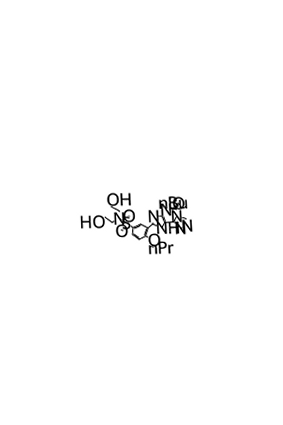 CCCCn1c(=O)n2cnnc2c2[nH]c(-c3cc(S(=O)(=O)N(CCO)CCO)ccc3OCCC)nc21